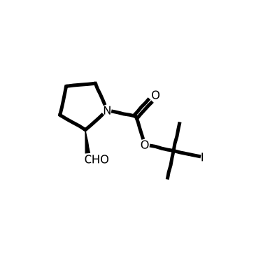 CC(C)(I)OC(=O)N1CCC[C@@H]1C=O